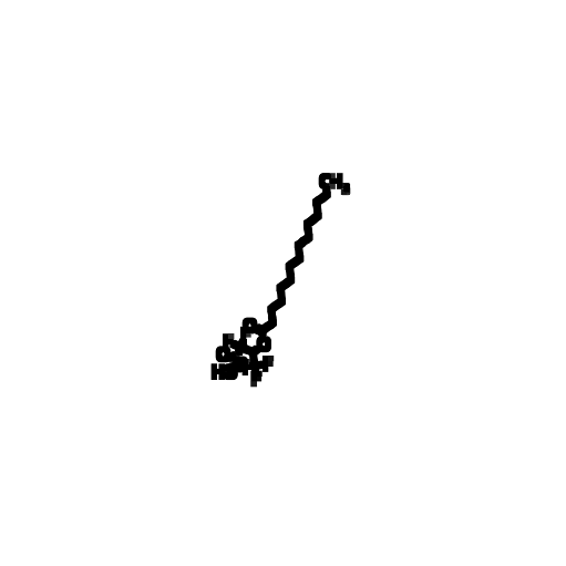 CCCCCCCCCCCCCCC(=O)OC(C(F)(F)F)C(F)(F)S(=O)(=O)O